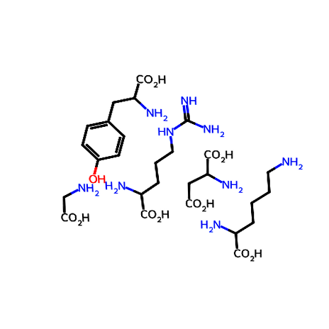 N=C(N)NCCCC(N)C(=O)O.NC(CC(=O)O)C(=O)O.NC(Cc1ccc(O)cc1)C(=O)O.NCC(=O)O.NCCCCC(N)C(=O)O